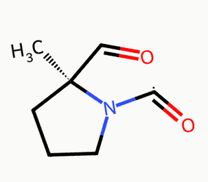 C[C@@]1(C=O)CCCN1[C]=O